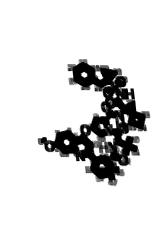 COc1ccc2c(O[C@@H]3C[C@@H](C(=O)NC4(C(=O)NS(=O)(=O)C5(Cc6ccccc6)CC5)CC45CCC5)N(C(=O)[C@@H](NC(=O)OC(C)(C)C)C(C)(C)C)C3)cc(-c3ccccc3)nc2c1